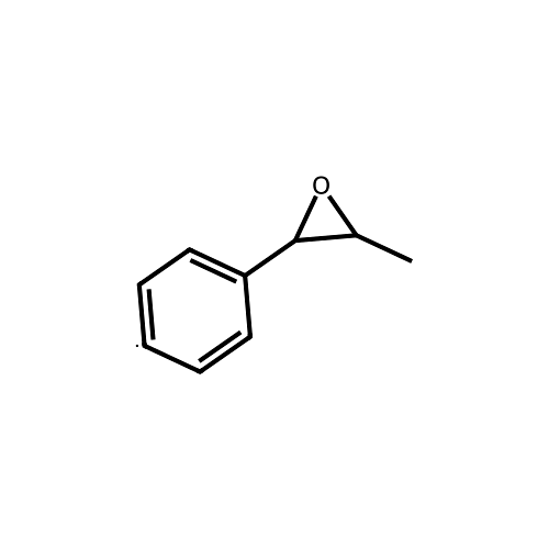 CC1OC1c1cc[c]cc1